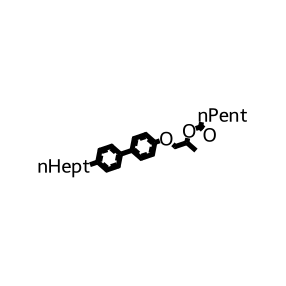 CCCCCCCc1ccc(-c2ccc(OCC(C)OC(=O)CCCCC)cc2)cc1